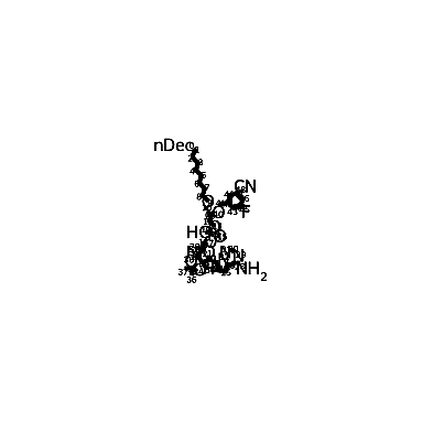 CCCCCCCCCCCCCCCCCCOC[C@H](COP(=O)(O)OC[C@@]1(C)O[C@@H](c2ccc3c(N)ncnn23)[C@@H]2OC(C)(C)O[C@@H]21)OCc1cc(F)cc(C#N)c1